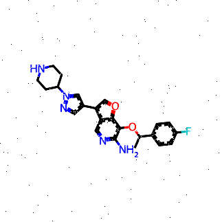 CC(Oc1c(N)ncc2c(-c3cnn(C4CCNCC4)c3)coc12)c1ccc(F)cc1